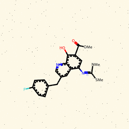 CN/C(=N\c1cc(C(=O)OC)c(O)c2ncc(Cc3ccc(F)cc3)cc12)SC